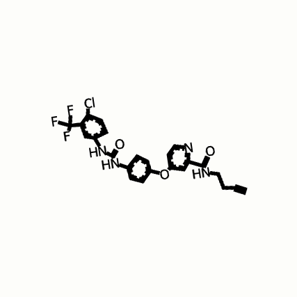 C#CCCNC(=O)c1cc(Oc2ccc(NC(=O)Nc3ccc(Cl)c(C(F)(F)F)c3)cc2)ccn1